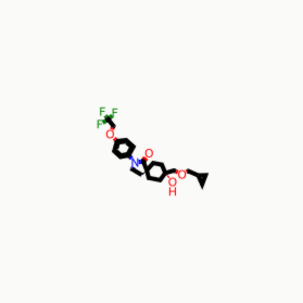 O=C1N(c2ccc(OCC(F)(F)F)cc2)CC[C@]12CC[C@](O)(COCC1CC1)CC2